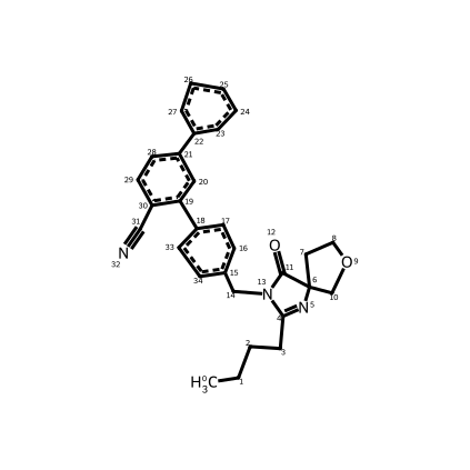 CCCCC1=NC2(CCOC2)C(=O)N1Cc1ccc(-c2cc(-c3ccccc3)ccc2C#N)cc1